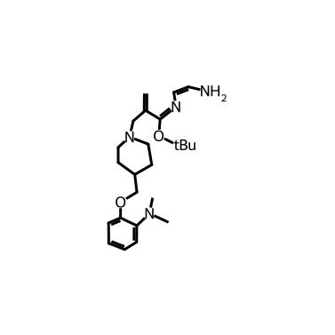 C=C(CN1CCC(COc2ccccc2N(C)C)CC1)/C(=N\C=C/N)OC(C)(C)C